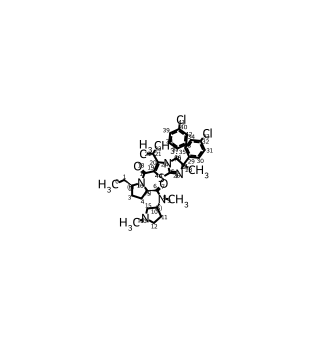 CC[C@@H]1CC[C@H](C(=O)N(C)[C@H]2CCN(C)C2)N1C(=O)C1=C(C(C)C)N2C(=N[C@@](C)(c3ccc(Cl)cc3)[C@H]2c2ccc(Cl)cc2)S1